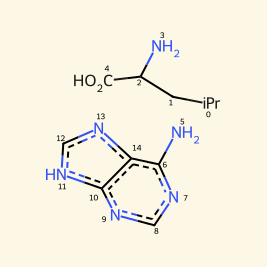 CC(C)CC(N)C(=O)O.Nc1ncnc2[nH]cnc12